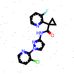 O=C(Nc1ccn(-c2ncccc2Cl)n1)C1(c2ncccc2F)CC1